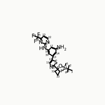 CC(C)(C)[Si](C)(C)OC1(c2ncc(-c3cc(N)cc(Nc4nccc(C(F)(F)F)n4)c3)s2)CCC1